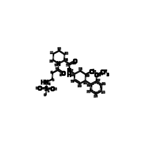 CS(=O)(=O)NCCC(=O)N1CCCCC1C(=O)NC1C=CC(c2ccccc2OC(F)(F)F)C(Cl)C1